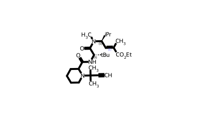 C#CC(C)(C)N1CCCCC1C(=O)N[C@H](C(=O)N(C)[C@H](/C=C(\C)C(=O)OCC)C(C)C)C(C)(C)C